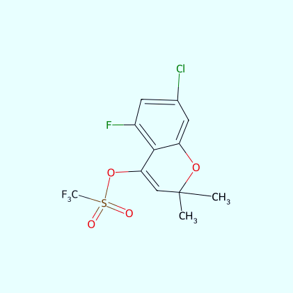 CC1(C)C=C(OS(=O)(=O)C(F)(F)F)c2c(F)cc(Cl)cc2O1